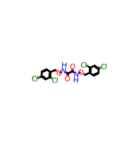 O=C(NOCc1ccc(Cl)cc1Cl)C(=O)NOCc1ccc(Cl)cc1Cl